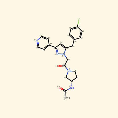 COC(=O)N[C@H]1CCN(C(=O)Cn2nc(-c3ccncc3)cc2Cc2ccc(F)cc2)C1